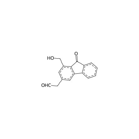 O=CCc1cc(CO)c2c(c1)-c1ccccc1C2=O